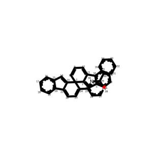 C1=CC2(C3=Cc4ccccc4C3=C1)C1=Cc3ccccc3C1=CC=C2c1ccnc(-c2ccccc2)n1